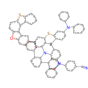 N#Cc1ccc(N(c2ccccc2)c2ccc3c(c2)N(c2c(-c4ccccc4)cccc2-c2ccccc2)c2cc(-c4ccc5oc6ccc7sc8ccccc8c7c6c5c4)cc4c2B3c2ccc(N(c3ccccc3)c3ccccc3)cc2S4)cc1